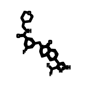 O=C(NCC1CCOCC1)c1cc(F)cc(Cn2ccc3cc(-c4c[nH]nc4C(F)F)ccc3c2=O)c1